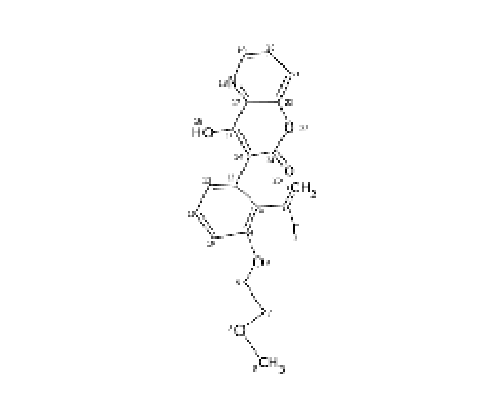 C=C(F)c1c(OCCOC)cccc1-c1c(O)c2ncccc2oc1=O